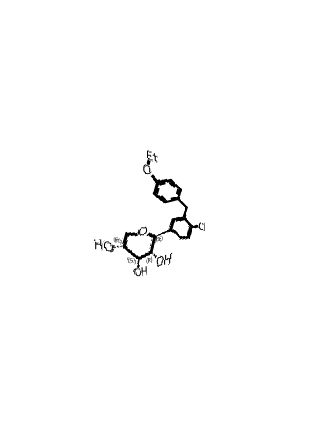 CCOc1ccc(CC2=CC([C@@H]3OC[C@@H](O)[C@H](O)[C@H]3O)CC=C2Cl)cc1